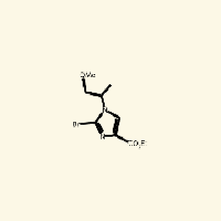 CCOC(=O)c1cn(C(C)COC)c(Br)n1